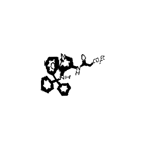 CCOC(=O)CC(=O)Nc1cnn(C)c1NC(c1ccccc1)(c1ccccc1)c1ccccc1